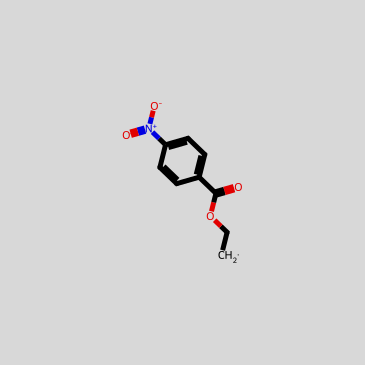 [CH2]COC(=O)c1ccc([N+](=O)[O-])cc1